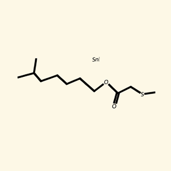 CSCC(=O)OCCCCCC(C)C.[Sn]